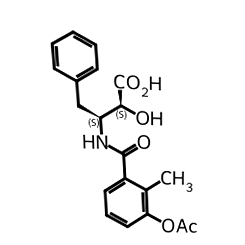 CC(=O)Oc1cccc(C(=O)N[C@@H](Cc2ccccc2)[C@H](O)C(=O)O)c1C